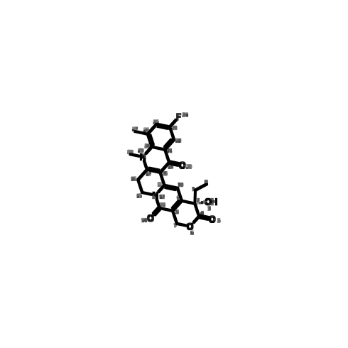 CC[C@@]1(O)C(=O)OCc2c1cc1n(c2=O)CCc2c-1c(=O)c1cc(F)cc(C)c1n2C